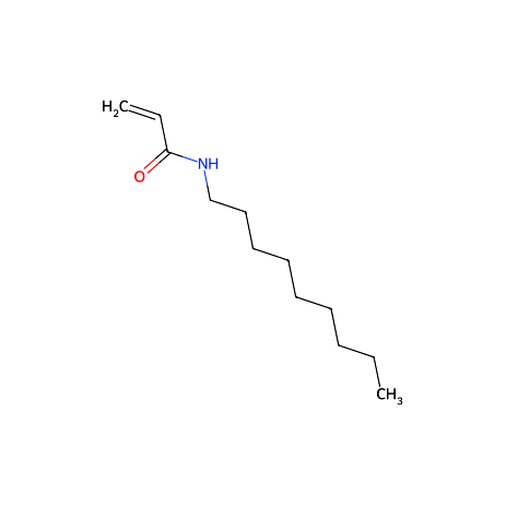 C=CC(=O)NCCCCCCCCC